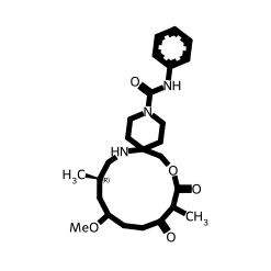 COC1CCC(=O)C(C)C(=O)OCC2(CCN(C(=O)Nc3ccccc3)CC2)NC[C@H](C)C1